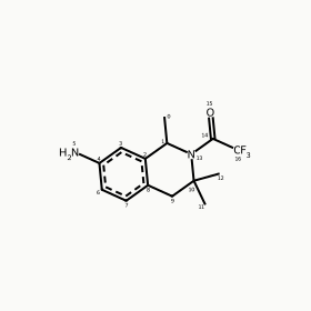 CC1c2cc(N)ccc2CC(C)(C)N1C(=O)C(F)(F)F